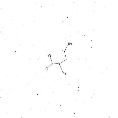 CCC(CCC(C)C)C([O])=O